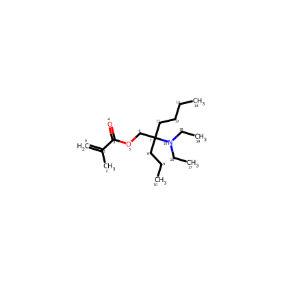 C=C(C)C(=O)OCC(CCC)(CCCC)N(CC)CC